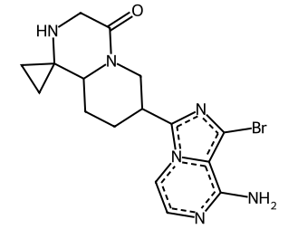 Nc1nccn2c(C3CCC4N(C3)C(=O)CNC43CC3)nc(Br)c12